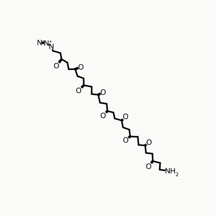 [N-]=[N+]=NCCC(=O)CCC(=O)CCC(=O)CCC(=O)CCC(=O)CCC(=O)CCC(=O)CCC(=O)CCC(=O)CCN